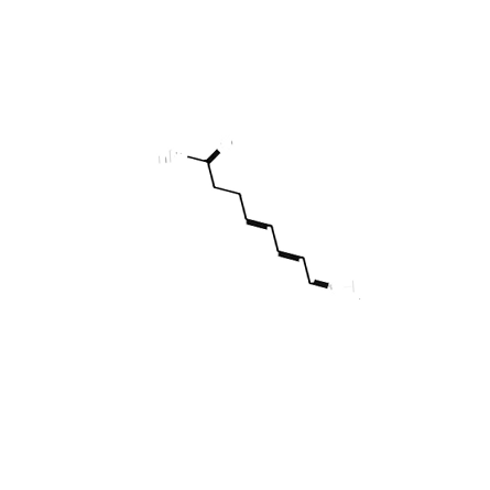 C=CC=CC=CCCC(=O)CCC